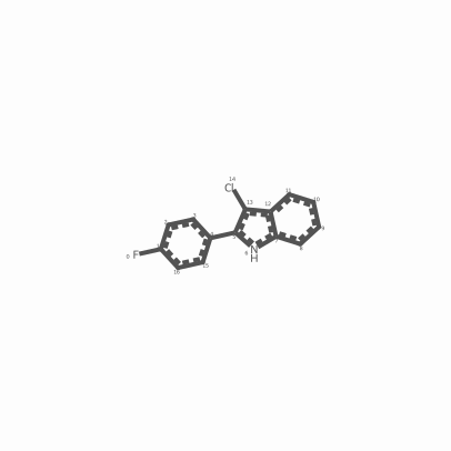 Fc1ccc(-c2[nH]c3ccccc3c2Cl)cc1